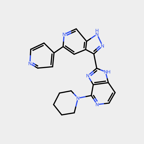 c1cc(-c2cc3c(-c4nc5c(N6CCCCC6)nccc5[nH]4)n[nH]c3cn2)ccn1